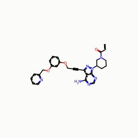 C=CC(=O)N1CCCC(n2nc(C#CCOc3cccc(OCc4ccccn4)c3)c3c(N)ncnc32)C1